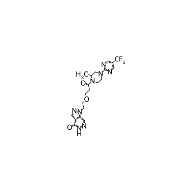 CC1CN(c2ncc(C(F)(F)F)cn2)CCN1C(=O)CCOCCn1ncc2c(=O)[nH]ncc21